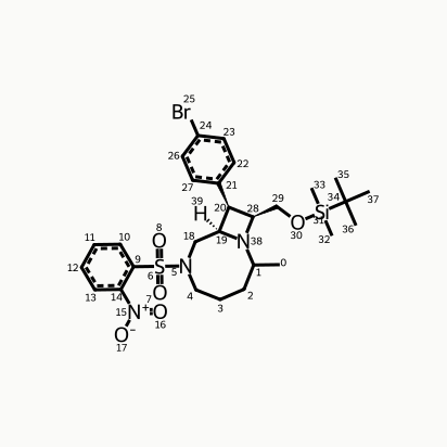 CC1CCCN(S(=O)(=O)c2ccccc2[N+](=O)[O-])C[C@H]2[C@@H](c3ccc(Br)cc3)[C@@H](CO[Si](C)(C)C(C)(C)C)N12